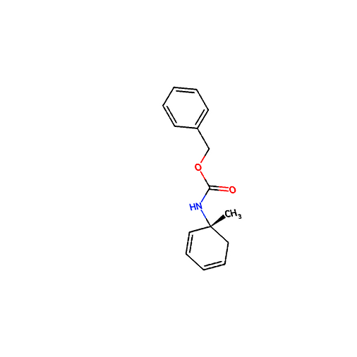 C[C@]1(NC(=O)OCc2ccccc2)C=CC=CC1